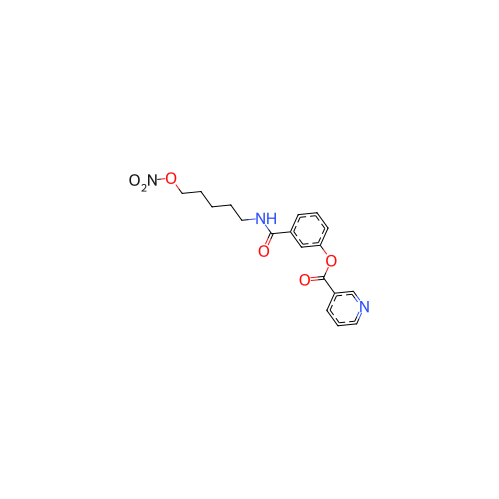 O=C(NCCCCCO[N+](=O)[O-])c1cccc(OC(=O)c2cccnc2)c1